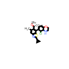 Cc1cc2nc(C3CC3)sc2c(C2=CC=C3OCCNC3C2Cl)c1[C@H](OC(C)(C)C)C(=O)O